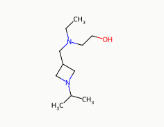 CCN(CCO)CC1CN(C(C)C)C1